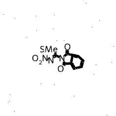 CSC(=N[N+](=O)[O-])N1C(=O)c2ccccc2C1=O